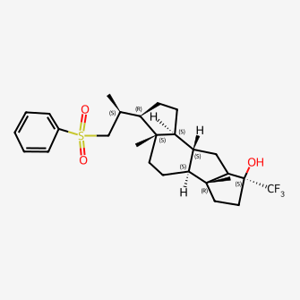 C[C@H](CS(=O)(=O)c1ccccc1)[C@H]1CC[C@H]2[C@@H]3CC4[C@](C)(CC[C@@]4(O)C(F)(F)F)[C@H]3CC[C@]12C